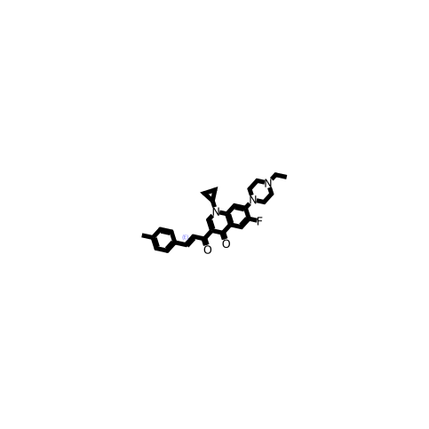 CCN1CCN(c2cc3c(cc2F)c(=O)c(C(=O)/C=C/c2ccc(C)cc2)cn3C2CC2)CC1